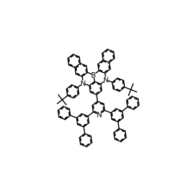 CC(C)(C)c1ccc(N2c3cc4ccccc4cc3B3c4cc5ccccc5cc4N(c4ccc(C(C)(C)C)cc4)c4cc(-c5cc(-c6cc(-c7ccccc7)cc(-c7ccccc7)c6)nc(-c6cc(-c7ccccc7)cc(-c7ccccc7)c6)c5)cc2c43)cc1